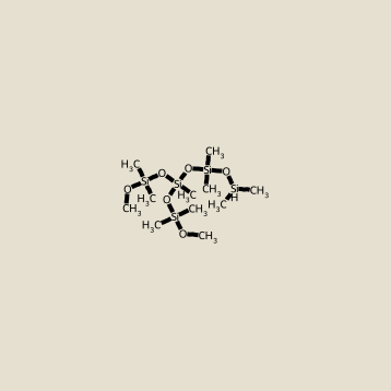 CO[Si](C)(C)O[Si](C)(O[Si](C)(C)OC)O[Si](C)(C)O[SiH](C)C